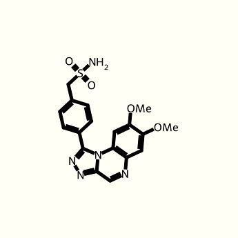 COc1cc2ncc3nnc(-c4ccc(CS(N)(=O)=O)cc4)n3c2cc1OC